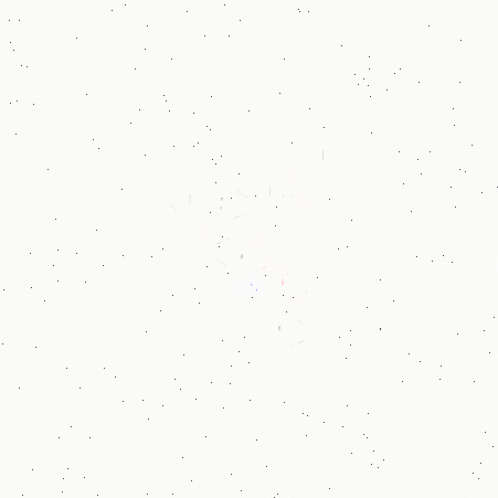 CCOC(=O)CCC(Oc1cc(OCc2ccsc2)ccc1C(=O)NC(Cc1ccccc1)C(=O)OC)c1ccccc1C